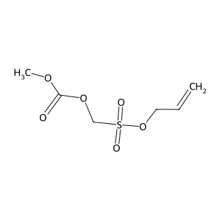 C=CCOS(=O)(=O)COC(=O)OC